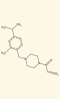 C=CC(=O)N1CCN(Cc2ccc(C(C)C)cc2C)CC1